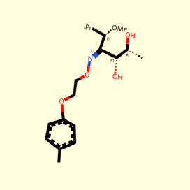 CO[C@H](/C(=N/OCCOc1ccc(C)cc1)[C@@H](O)[C@@H](C)O)C(C)C